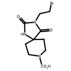 O=C(O)N1CCC2(CC1)NC(=O)N(CCBr)C2=O